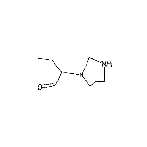 CCC([C]=O)N1CCNC1